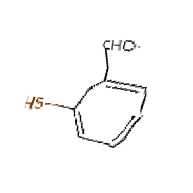 O=[C]c1ccccc1S